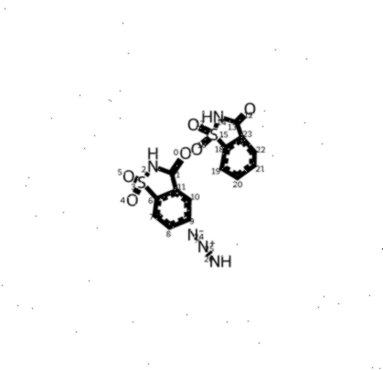 O=C1NS(=O)(=O)c2ccccc21.O=C1NS(=O)(=O)c2ccccc21.[N-]=[N+]=N